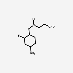 CCN(CCC=O)CC1CCC(N)CC1F